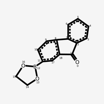 O=C1c2ccccc2-c2ccc(B3OCCO3)cc21